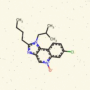 CCCCc1nc2c[n+]([O-])c3cc(Cl)ccc3c2n1CC(C)C